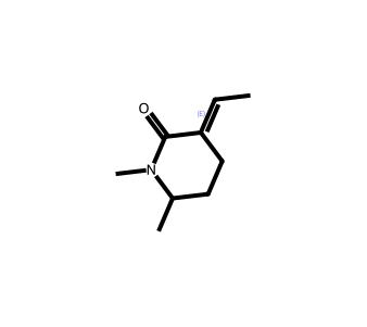 C/C=C1\CCC(C)N(C)C1=O